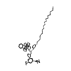 CCCCCCCCCCCCCCCCCCOCC(COc1cc(F)cc(C#N)c1)COP(=O)(OC)Oc1ccccc1Cl